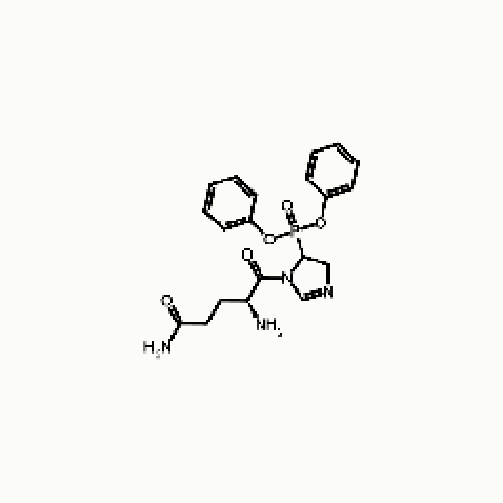 NC(=O)CC[C@H](N)C(=O)N1C=NCC1P(=O)(Oc1ccccc1)Oc1ccccc1